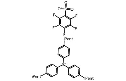 CCCC(C)c1ccc([S+](c2ccc(C(C)CCC)cc2)c2ccc(C(C)CCC)cc2)cc1.O=S(=O)([O-])c1c(F)c(F)c(F)c(F)c1F